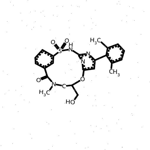 Cc1cccc(C)c1-c1cc2nc(n1)NS(=O)(=O)c1cccc(c1)C(=O)N(C)CC(CO)O2